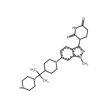 Cn1nc(C2CCC(=O)NC2=O)c2ccc(N3CCC(C(C)(C)N4CCNCC4)CC3)cc21